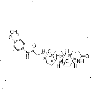 COc1ccc(NC(=O)CC[C@H]2CC[C@H]3[C@@H]4CC[C@H]5NC(=O)C=C[C@]5(C)[C@H]4CC[C@]23C)cc1